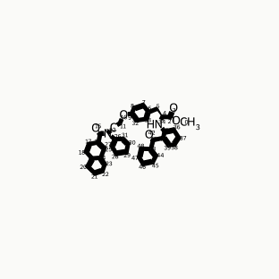 COC(=O)[C@H](Cc1ccc(OCCN(C(=O)c2ccc3ccccc3c2)c2ccccc2)cc1)Nc1ccccc1C(=O)c1ccccc1